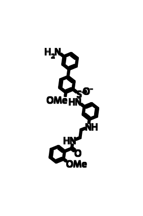 COc1ccccc1C(=O)NCCNc1cccc(N[S+]([O-])c2cc(-c3cccc(N)c3)ccc2OC)c1